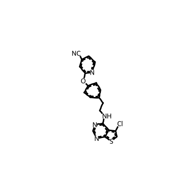 N#Cc1ccnc(Oc2ccc(CCNc3ncnc4scc(Cl)c34)cc2)c1